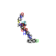 C[C@H](CCSc1ccc(N2CCOCC2)cc1)Nc1ccc(S(=O)(=O)NC(=O)c2ccc(N3CCN(CC4=C(c5ccc(Cl)cc5)CCC(C)(C)C4)CC3)cc2)cc1S(=O)(=O)C(F)(F)F